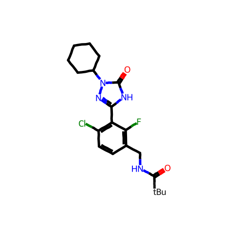 CC(C)(C)C(=O)NCc1ccc(Cl)c(-c2nn(C3CCCCC3)c(=O)[nH]2)c1F